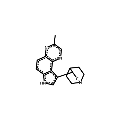 Cc1cnc2c(ccc3[nH]cc(C4CN5CCC4CC5)c32)n1